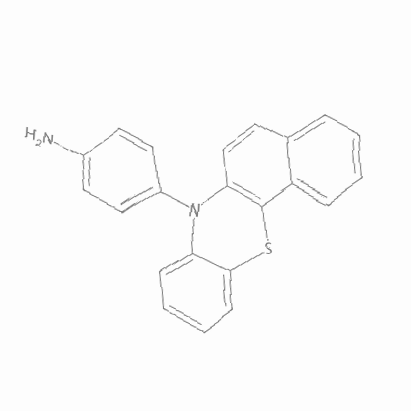 Nc1ccc(N2c3ccccc3Sc3c2ccc2ccccc32)cc1